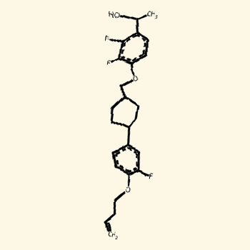 C=CCCOc1ccc(C2CCC(COc3ccc(C(C)O)c(F)c3F)CC2)cc1F